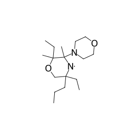 CCCC1(CC)COC(C)(CC)C(C)(N2CCOCC2)[N]1